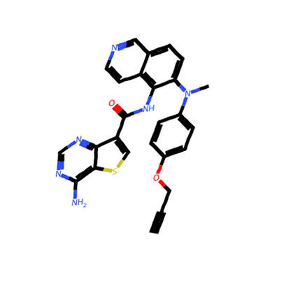 C#CCOc1ccc(N(C)c2ccc3cnccc3c2NC(=O)c2csc3c(N)ncnc23)cc1